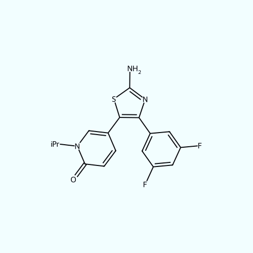 CC(C)n1cc(-c2sc(N)nc2-c2cc(F)cc(F)c2)ccc1=O